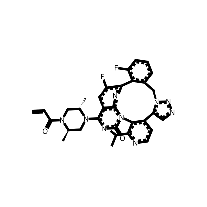 C=CC(=O)N1C[C@H](C)N(c2nc(=O)n3c4nc(c(F)cc24)-c2c(F)cccc2Cn2nncc2-c2ccnc(C(C)C)c2-3)C[C@H]1C